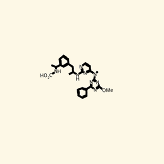 COc1nc(-c2ccccc2)nc(N(C)c2ccnc(NC(C)Cc3cccc(C(C)NC(=O)O)c3)n2)n1